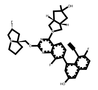 C#Cc1c(F)ccc2cc(O)cc(-c3ccc4c(N5C[C@@H]6CC(C)(O)C[C@@H]6C5)nc(OC[C@@]56CCCN5C[C@H](F)C6)nc4c3F)c12